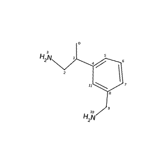 CC(CN)c1cccc(CN)c1